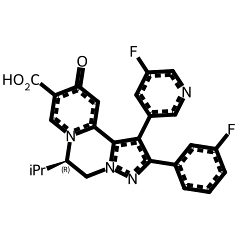 CC(C)[C@@H]1Cn2nc(-c3cccc(F)c3)c(-c3cncc(F)c3)c2-c2cc(=O)c(C(=O)O)cn21